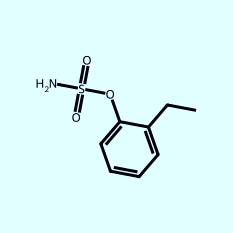 CCc1ccccc1OS(N)(=O)=O